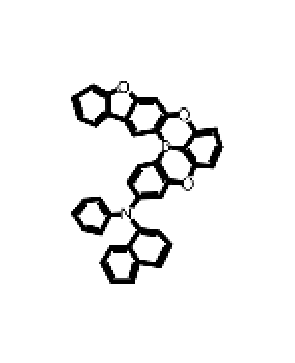 c1ccc(N(c2ccc3c(c2)Oc2cccc4c2B3c2cc3c(cc2O4)oc2ccccc23)c2cccc3ccccc23)cc1